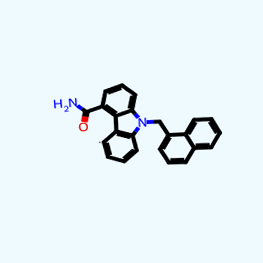 NC(=O)c1cccc2c1c1[c]cccc1n2Cc1cccc2ccccc12